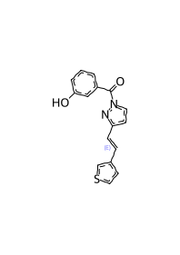 O=C(c1cccc(O)c1)n1ccc(/C=C/c2ccsc2)n1